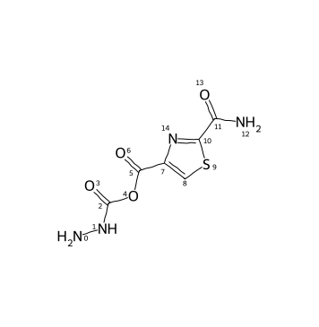 NNC(=O)OC(=O)c1csc(C(N)=O)n1